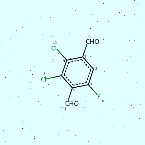 O=Cc1cc(F)c(C=O)c(Cl)c1Cl